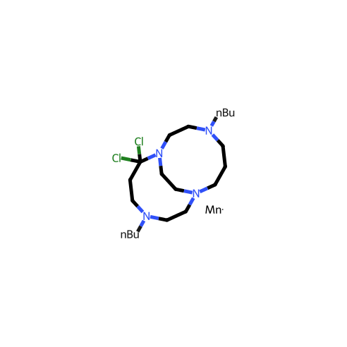 CCCCN1CCCN2CCN(CCCC)CCC(Cl)(Cl)N(CC1)CC2.[Mn]